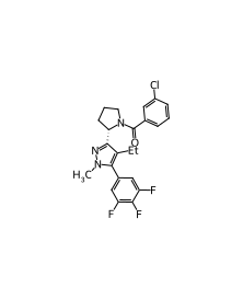 CCc1c([C@@H]2CCCN2C(=O)c2cccc(Cl)c2)nn(C)c1-c1cc(F)c(F)c(F)c1